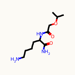 CC(C)OCC(=O)NC(CCCCN)C(N)=O